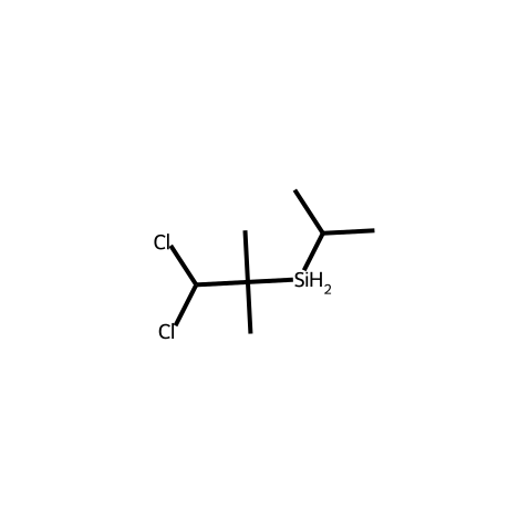 CC(C)[SiH2]C(C)(C)C(Cl)Cl